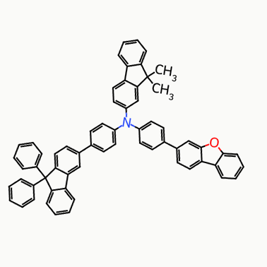 CC1(C)c2ccccc2-c2ccc(N(c3ccc(-c4ccc5c(c4)-c4ccccc4C5(c4ccccc4)c4ccccc4)cc3)c3ccc(-c4ccc5c(c4)oc4ccccc45)cc3)cc21